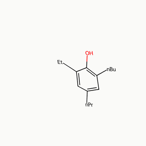 CCCCc1cc(CCC)cc(CC)c1O